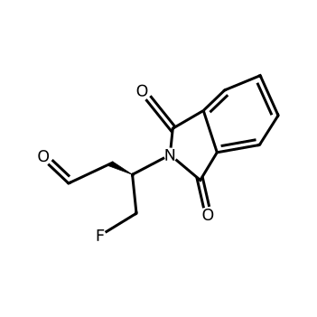 O=CC[C@H](CF)N1C(=O)c2ccccc2C1=O